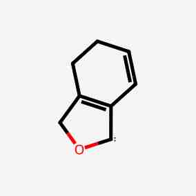 [C]1OCC2=C1C=CCC2